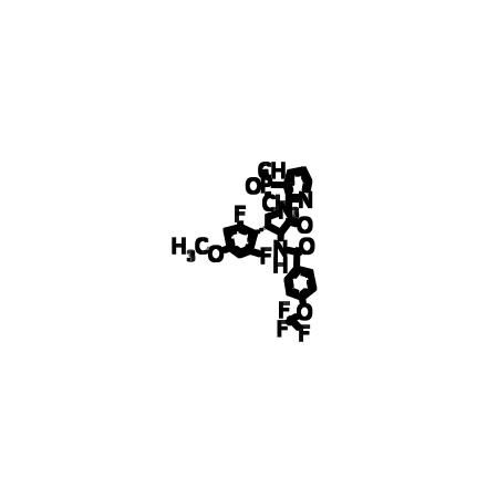 COc1cc(F)c([C@@H]2CN(c3ncccc3P(C)(C)=O)C(=O)C2NC(=O)c2ccc(OC(F)(F)F)cc2)c(F)c1